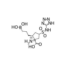 N[C@@]1(C(=O)O)CC(S(=O)(=O)Nc2nnn[nH]2)C[C@@H]1CCCB(O)O